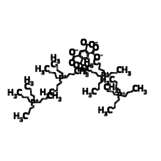 CCCC[P+](CCCC)(CCCC)CCCC.CCCC[P+](CCCC)(CCCC)CCCC.CCCC[P+](CCCC)(CCCC)CCCC.CCCC[P+](CCCC)(CCCC)CCCC.O=C([O-])c1cc(C(=O)[O-])c(C(=O)[O-])cc1C(=O)[O-]